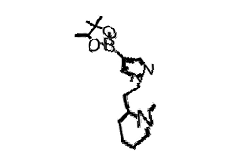 C=C1OB(c2cnn(CCC3CCCCN3C)c2)OC1(C)C